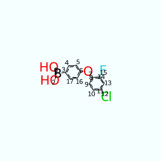 OB(O)c1ccc(Oc2ccc(Cl)cc2F)cc1